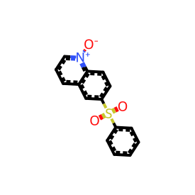 O=S(=O)(c1ccccc1)c1ccc2c(ccc[n+]2[O-])c1